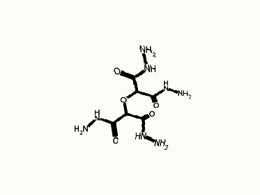 NNC(=O)C(OC(C(=O)NN)C(=O)NN)C(=O)NN